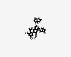 N#Cc1cc2c(N3CC4CCC(C3)N4)nc(OCC34CCCN3CCC4)cc2c(F)c1-c1cc(O)cc(Cl)c1C1CC1